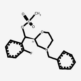 CS(=O)(=O)OC(c1ccccc1F)[C@@H]1CN(Cc2ccccc2)CCO1